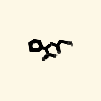 CCC(=O)OC(c1ccccc1)[N+](=O)[O-]